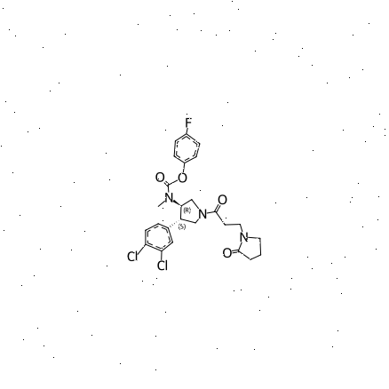 CN(C(=O)Oc1ccc(F)cc1)[C@H]1CN(C(=O)CCN2CCCC2=O)C[C@@H]1c1ccc(Cl)c(Cl)c1